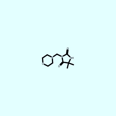 CC1(C)NC(=O)N(CN2CCOCC2)C1=O